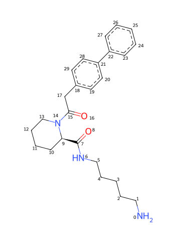 NCCCCCNC(=O)[C@H]1CCCCN1C(=O)Cc1ccc(-c2ccccc2)cc1